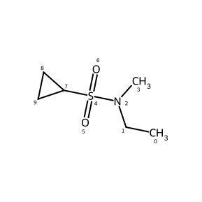 CCN(C)S(=O)(=O)C1CC1